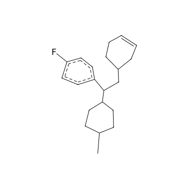 CC1CCC(C(CC2CC=CCC2)c2ccc(F)cc2)CC1